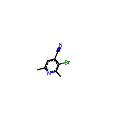 Cc1cc(C#N)c(Br)c(C)n1